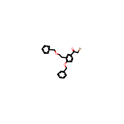 O=C(CBr)c1ccc(OCc2ccccc2)c(CCOCc2ccccc2)c1